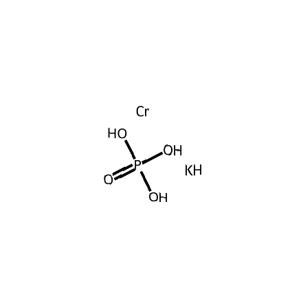 O=P(O)(O)O.[Cr].[KH]